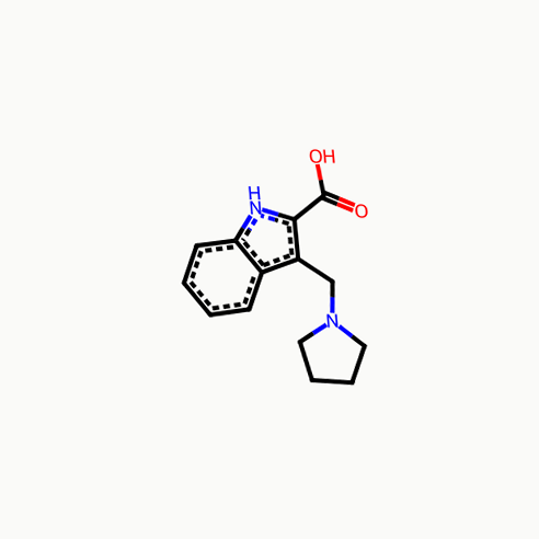 O=C(O)c1[nH]c2ccccc2c1CN1CCCC1